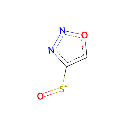 O=[S+]c1conn1